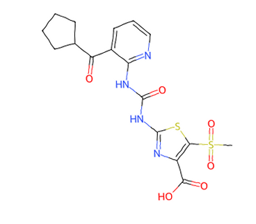 CS(=O)(=O)c1sc(NC(=O)Nc2ncccc2C(=O)C2CCCC2)nc1C(=O)O